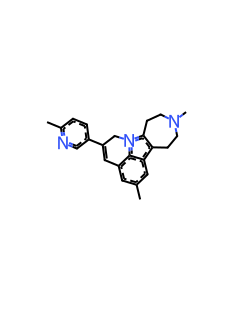 Cc1cc2c3c(c1)c1c(n3CC(c3ccc(C)nc3)=C2)CCN(C)CC1